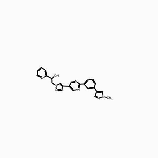 Cn1cc(-c2cccc(-c3ncc(-c4cnn(CC(O)c5ccccn5)c4)cn3)c2)cn1